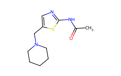 CC(=O)Nc1ncc(CN2CCCCC2)s1